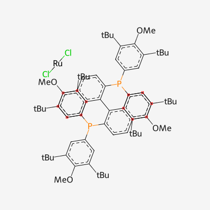 COc1c(C(C)(C)C)cc(P(c2cc(C(C)(C)C)c(OC)c(C(C)(C)C)c2)c2ccc3ccccc3c2-c2c(P(c3cc(C(C)(C)C)c(OC)c(C(C)(C)C)c3)c3cc(C(C)(C)C)c(OC)c(C(C)(C)C)c3)ccc3ccccc23)cc1C(C)(C)C.[Cl][Ru][Cl]